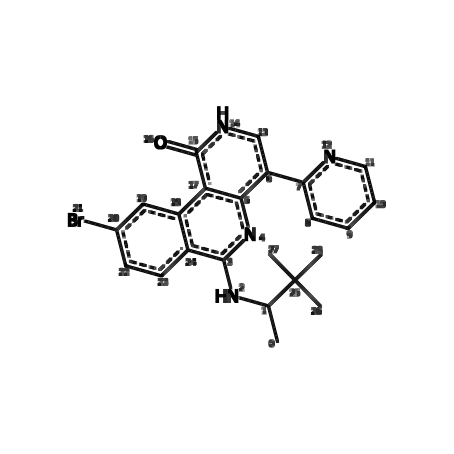 CC(Nc1nc2c(-c3ccccn3)c[nH]c(=O)c2c2cc(Br)ccc12)C(C)(C)C